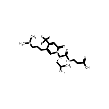 CC(C)C[C@@H](C(=O)NCCC(=O)O)n1cc(CCCN(C)C)c(C(F)(F)F)cc1=O